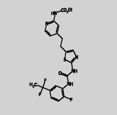 CCOC(=O)Nc1cc(CCc2cnc(NC(=O)Nc3cc(C(C)(F)F)ccc3F)s2)ccn1